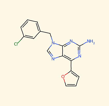 Nc1nc(-c2ccco2)c2ncn(Cc3cccc(Cl)c3)c2n1